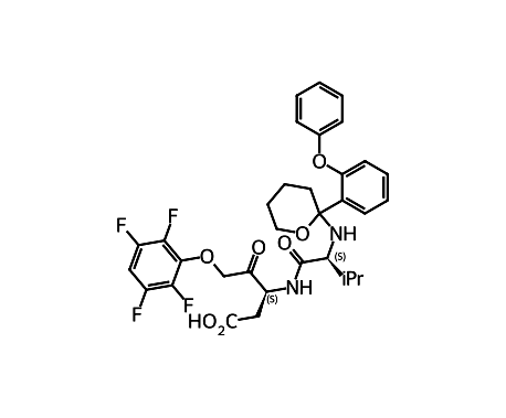 CC(C)[C@H](NC1(c2ccccc2Oc2ccccc2)CCCCO1)C(=O)N[C@@H](CC(=O)O)C(=O)COc1c(F)c(F)cc(F)c1F